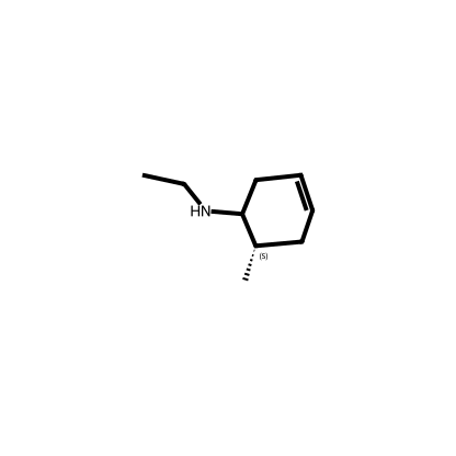 CCNC1CC=CC[C@@H]1C